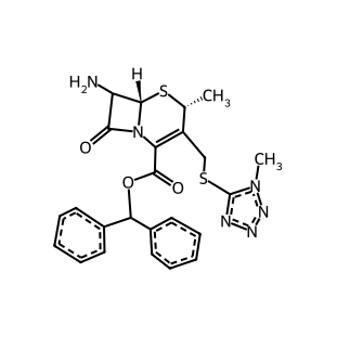 C[C@H]1S[C@H]2C(N)C(=O)N2C(C(=O)OC(c2ccccc2)c2ccccc2)=C1CSc1nnnn1C